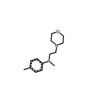 Cc1ccc(N(C)CCN2CCOCC2)cc1